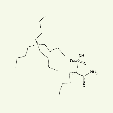 CCC/C=C(\C(N)=O)S(=O)(=O)O.CCCC[PH](CCCC)(CCCC)CCCC